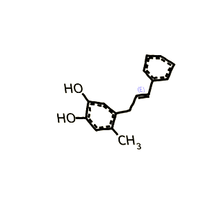 Cc1cc(O)c(O)cc1C/C=C/c1ccccc1